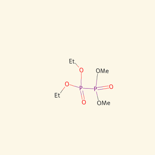 CCOP(=O)(OCC)P(=O)(OC)OC